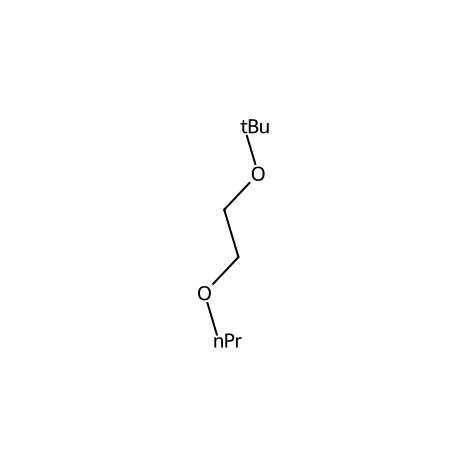 [CH2]CCOCCOC(C)(C)C